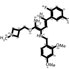 COc1ccc(CNC(/C=C(\N)c2cc(Cl)ccc2F)=C(/N)OCC2CN(C)C2)c(OC)c1